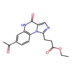 CCOC(=O)CCc1ncc2c(=O)[nH]c3cc(C(C)=O)ccc3n12